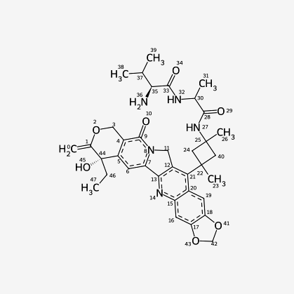 C=C1OCc2c(cc3n(c2=O)Cc2c-3nc3cc4c(cc3c2C2(C)CC(C)(NC(=O)C(C)NC(=O)[C@@H](N)C(C)C)C2)OCO4)[C@@]1(O)CC